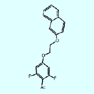 CC(=O)c1c(F)cc(OCCOc2ccc3ccccc3c2)cc1F